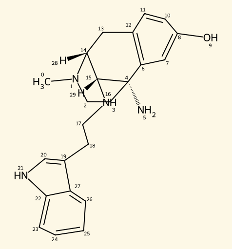 CN1CC[C@]2(N)c3cc(O)ccc3C[C@@H]1[C@H]2NCCc1c[nH]c2ccccc12